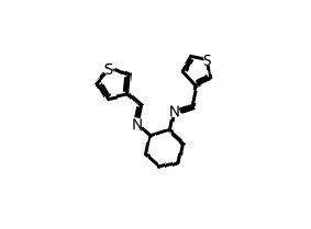 C(=NC1CCCCC1N=Cc1ccsc1)c1ccsc1